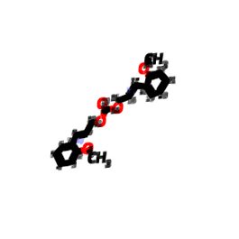 COc1ccccc1/C=C/COC(=O)OC/C=C/c1ccccc1OC